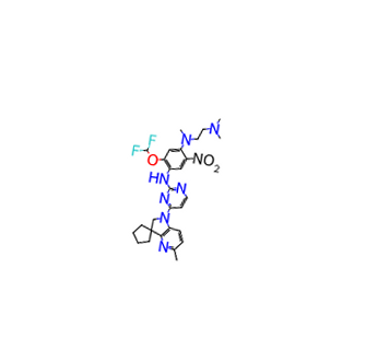 Cc1ccc2c(n1)C1(CCCC1)CN2c1ccnc(Nc2cc([N+](=O)[O-])c(N(C)CCN(C)C)cc2OC(F)F)n1